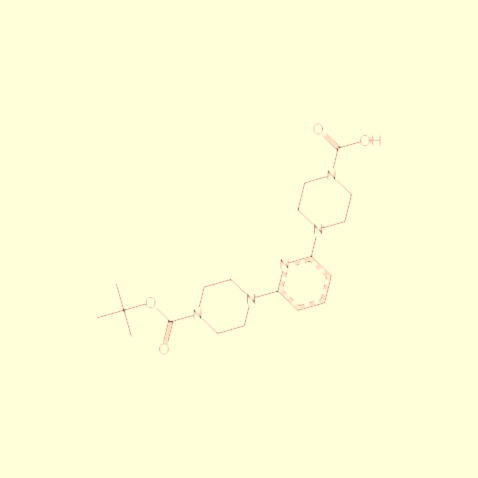 CC(C)(C)OC(=O)N1CCN(c2cccc(N3CCN(C(=O)O)CC3)n2)CC1